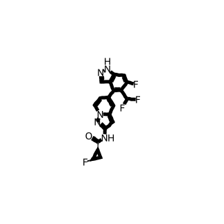 O=C(Nc1cc2cc(-c3c(C(F)F)c(F)cc4[nH]ncc34)ccn2n1)[C@@H]1C[C@@H]1F